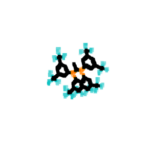 CC(P(c1cc(C(F)(F)F)cc(C(F)(F)F)c1)c1cc(C(F)(F)F)cc(C(F)(F)F)c1)P(c1cc(C(F)(F)F)cc(C(F)(F)F)c1)c1cc(C(F)(F)F)cc(C(F)(F)F)c1